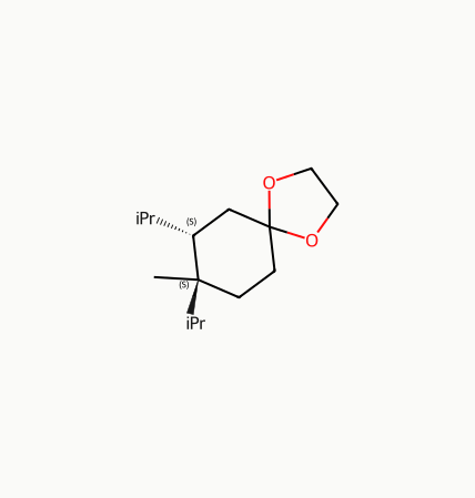 CC(C)[C@@H]1CC2(CC[C@@]1(C)C(C)C)OCCO2